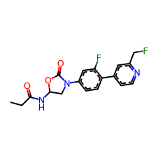 CCC(=O)NC1CN(c2ccc(-c3ccnc(CF)c3)c(F)c2)C(=O)O1